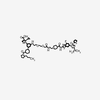 CCCCC1CCCN1C(=O)[C@@H]1CCC[C@H](c2cc(NCCOCCOCC(=O)NCCN3CCC(C(=O)Nc4nc5c(F)cc(N(CCN(C)C)S(=O)(=O)c6cccs6)cc5s4)CC3)cc(-n3ncc(C(=O)O)c3C3CC3)c2)C1